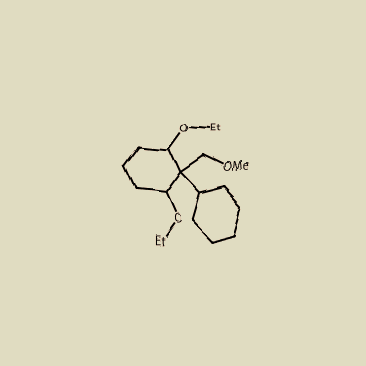 CCOC1CCCC(OCC)C1(COC)C1CCCCC1